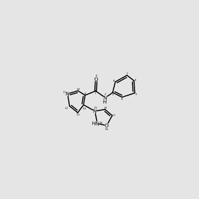 O=C(Nc1ccccc1)c1cnccc1N1C=CON1